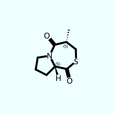 C[C@@H]1CSC(=O)[C@@H]2CCCN2C1=O